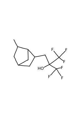 CC1CC2CC(CC(O)(C(F)(F)F)C(F)(F)F)C1C2